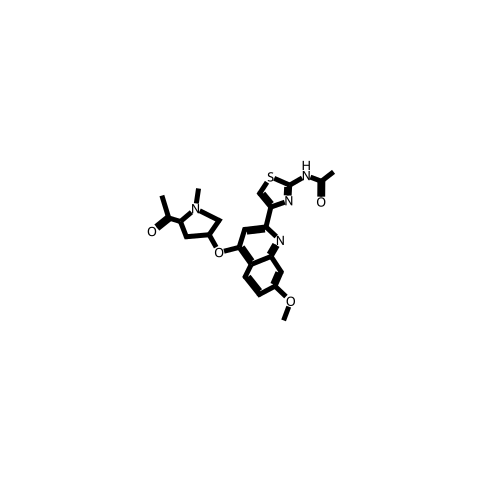 COc1ccc2c(OC3CC(C(C)=O)N(C)C3)cc(-c3csc(NC(C)=O)n3)nc2c1